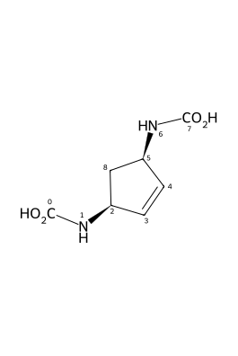 O=C(O)N[C@@H]1C=C[C@H](NC(=O)O)C1